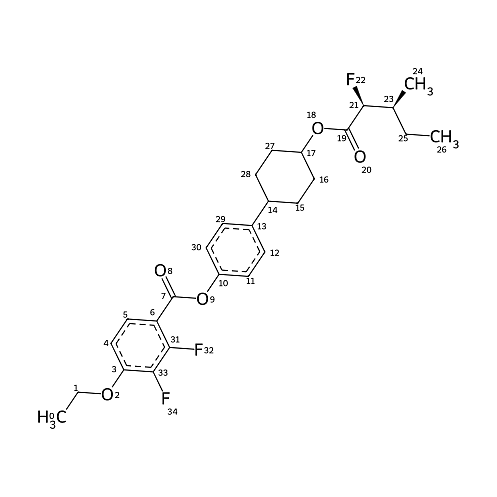 CCOc1ccc(C(=O)Oc2ccc(C3CCC(OC(=O)[C@@H](F)[C@@H](C)CC)CC3)cc2)c(F)c1F